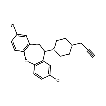 C#CCN1CCN(C2Cc3cc(Cl)ccc3Oc3ccc(Cl)cc32)CC1